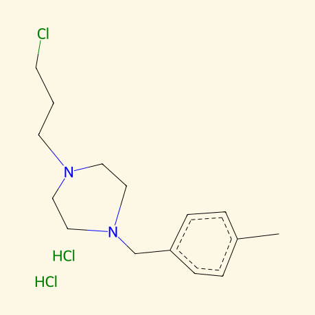 Cc1ccc(CN2CCN(CCCCl)CC2)cc1.Cl.Cl